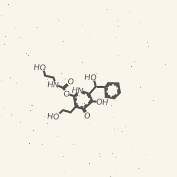 O=C(NCCO)Oc1[nH]c(C(O)c2ccccc2)c(O)c(=O)c1CCO